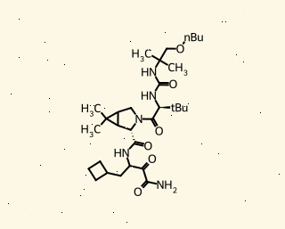 CCCCOCC(C)(C)NC(=O)N[C@H](C(=O)N1CC2C([C@H]1C(=O)NC(CC1CCC1)C(=O)C(N)=O)C2(C)C)C(C)(C)C